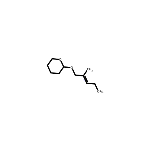 CC(=O)OC/C=C(\C)COC1CCCCO1